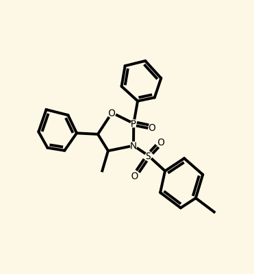 Cc1ccc(S(=O)(=O)N2C(C)C(c3ccccc3)OP2(=O)c2ccccc2)cc1